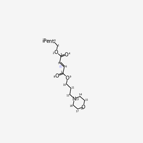 CCCC(C)COC(=O)/C=C/C(=O)OCCCN1CCOCC1